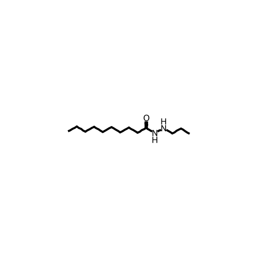 CCCCCCCCCC(=O)NNCCC